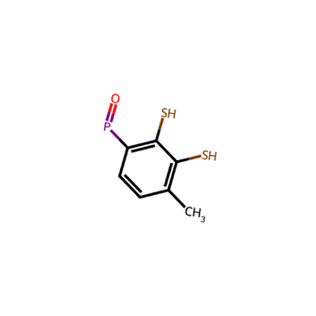 Cc1ccc(P=O)c(S)c1S